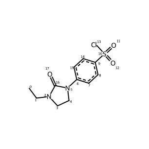 CCN1CCN(c2ccc(S(=O)(=O)Cl)cc2)C1=O